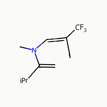 C=C(C(C)C)N(C)/C=C(\C)C(F)(F)F